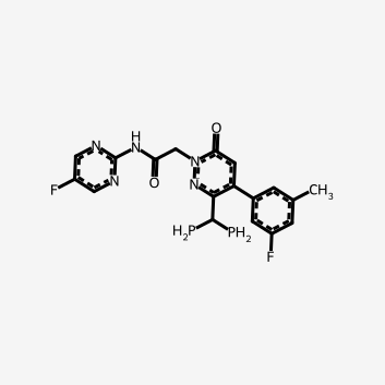 Cc1cc(F)cc(-c2cc(=O)n(CC(=O)Nc3ncc(F)cn3)nc2C(P)P)c1